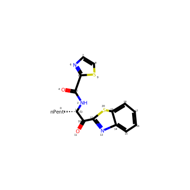 CCCCC[C@H](NC(=O)c1nccs1)C(=O)c1nc2ccccc2s1